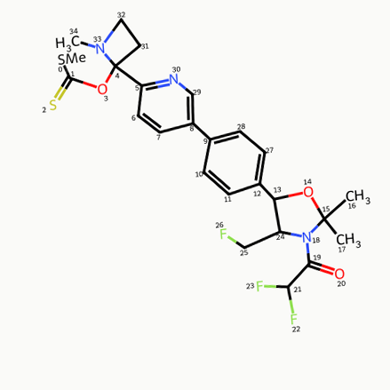 CSC(=S)OC1(c2ccc(-c3ccc(C4OC(C)(C)N(C(=O)C(F)F)C4CF)cc3)cn2)CCN1C